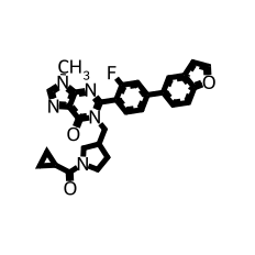 Cn1cnc2c(=O)n(CC3CCN(C(=O)C4CC4)C3)c(-c3ccc(-c4ccc5occc5c4)cc3F)nc21